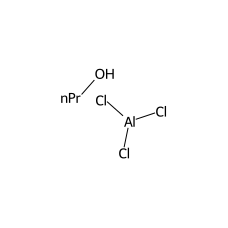 CCCO.[Cl][Al]([Cl])[Cl]